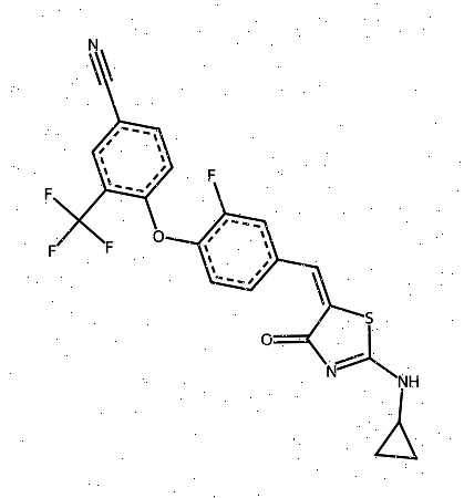 N#Cc1ccc(Oc2ccc(C=C3SC(NC4CC4)=NC3=O)cc2F)c(C(F)(F)F)c1